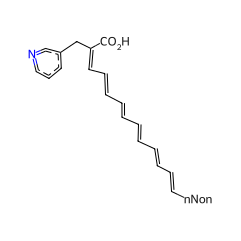 CCCCCCCCCC=CC=CC=CC=CC=CC=C(Cc1cccnc1)C(=O)O